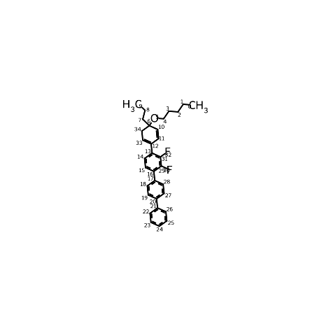 CCCCCOC1(CCC)C=CC(c2ccc(-c3ccc(-c4ccccc4)cc3)c(F)c2F)=CC1